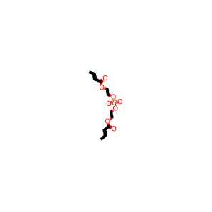 CC=CC(=O)OCCOS(=O)(=O)OCCOC(=O)C=CC